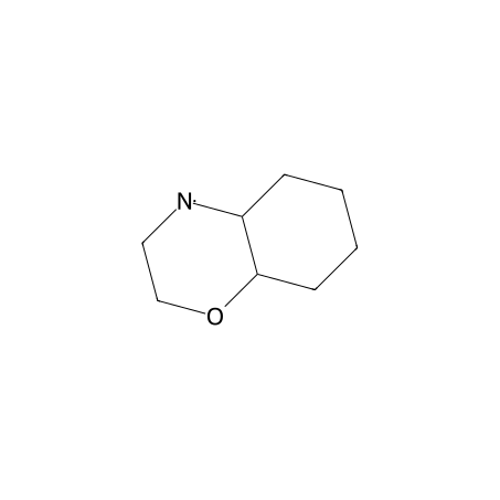 C1CCC2OCC[N]C2C1